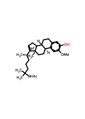 COc1cc2c(cc1O)CC[C@@H]1[C@@H]2CC[C@]2(C)C([C@H](C)CCCC(C)(C)NC(C)=O)=CC[C@@H]12